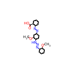 COc1ccccc1/N=N/Nc1ccc(/N=N/c2ccccc2C(=O)O)cc1OC